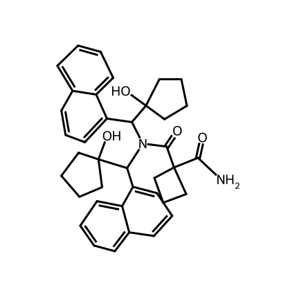 NC(=O)C1(C(=O)N(C(c2cccc3ccccc23)C2(O)CCCC2)C(c2cccc3ccccc23)C2(O)CCCC2)CCC1